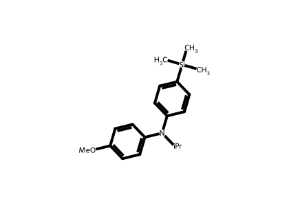 COc1ccc(N(c2ccc([Si](C)(C)C)cc2)C(C)C)cc1